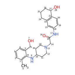 Cc1cccc(CO)c1NC1CCN(CC(=O)Nc2ccc3c(c2)CCCC3O)CC1